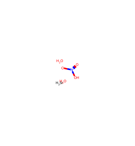 O.O.O=[N+]([O-])O.[SrH2]